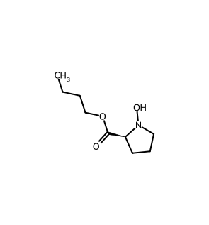 CCCCOC(=O)[C@@H]1CCCN1O